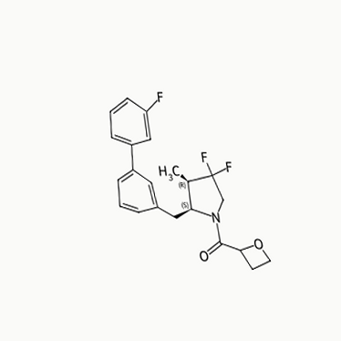 C[C@@H]1[C@H](Cc2cccc(-c3cccc(F)c3)c2)N(C(=O)C2CCO2)CC1(F)F